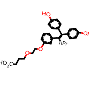 CCCC(=C(c1ccc(O)cc1)c1ccc(O)cc1)c1cccc(OCCOCCCC(=O)O)c1